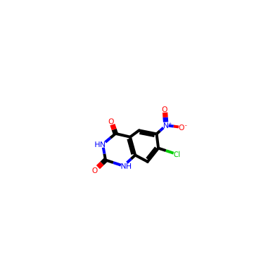 O=c1[nH]c(=O)c2cc([N+](=O)[O-])c(Cl)cc2[nH]1